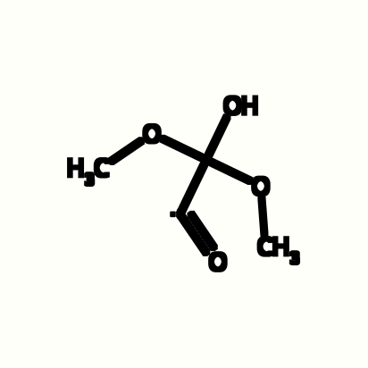 COC(O)([C]=O)OC